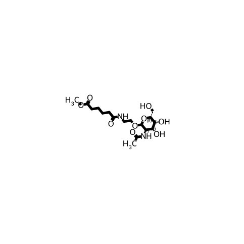 COC(=O)CCCCC(=O)NCCOC1O[C@H](CO)[C@H](O)[C@H](O)[C@H]1NC(C)=O